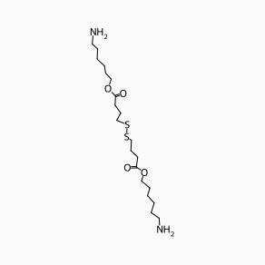 NCCCCCCOC(=O)CCCSSCCCC(=O)OCCCCCCN